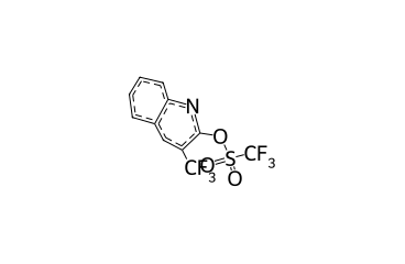 O=S(=O)(Oc1nc2ccccc2cc1C(F)(F)F)C(F)(F)F